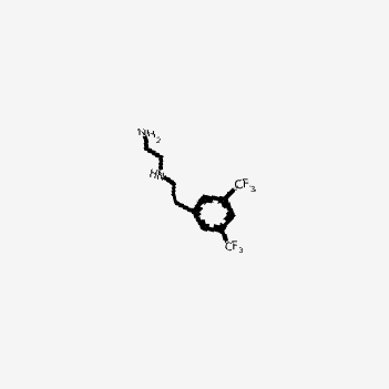 NCCNCCc1cc(C(F)(F)F)cc(C(F)(F)F)c1